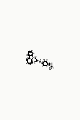 CC(=O)Nc1ccc(OCC(O)CN2c3ccccc3C3(C)C=CC=CC23)cc1